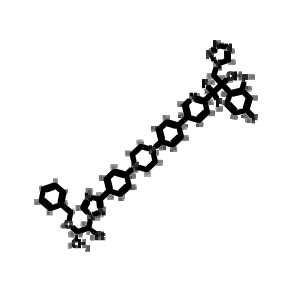 CC[C@@H]([C@H](C)OCc1ccccc1)n1cnc(-c2ccc(N3CCN(c4ccc(-c5ccc(C(F)(F)C(O)(Cn6cnnn6)c6ccc(F)cc6F)nc5)cc4)CC3)cc2)n1